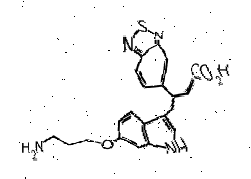 NCCCOc1ccc2c(C(CC(=O)O)c3ccc4nsnc4c3)c[nH]c2c1